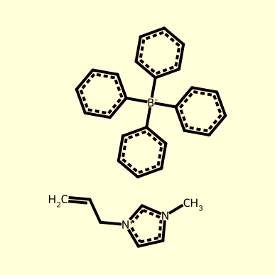 C=CC[n+]1ccn(C)c1.c1ccc([B-](c2ccccc2)(c2ccccc2)c2ccccc2)cc1